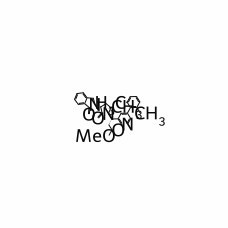 COC(=O)C[C@@H](c1cncc(-c2c(C)cccc2C)c1)N1C(=O)C(N2Cc3ccccc3C2=O)CC1C